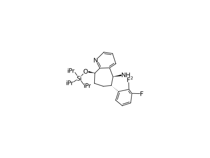 CC(C)[Si](O[C@@H]1CC[C@@H](c2cccc(F)c2F)[C@H](N)c2cccnc21)(C(C)C)C(C)C